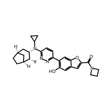 O=C(c1cc2cc(O)c(-c3ccc(N(C4CC4)[C@H]4C[C@@H]5CC[C@@H](C5)[C@H]4F)nn3)cc2o1)N1CCC1